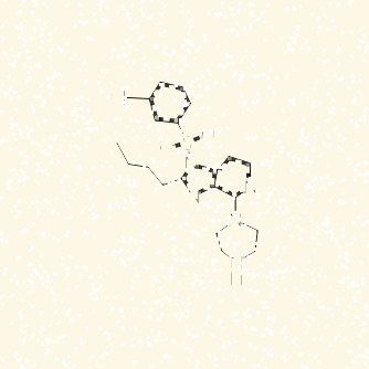 CCCCc1nc2c(N3CCNCC3)nccc2n1S(=O)(=O)c1cccc(Cl)c1